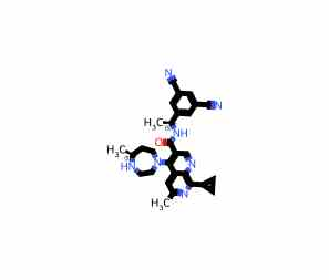 Cc1cc2c(N3CCN[C@@H](C)CC3)c(C(=O)N[C@@H](C)c3cc(C#N)cc(C#N)c3)cnc2c(C2CC2)n1